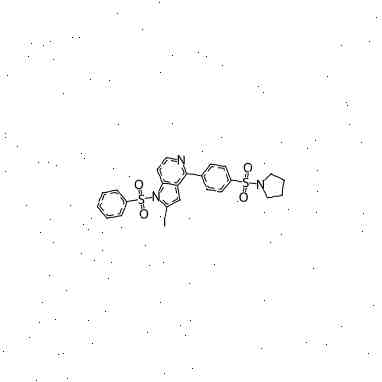 O=S(=O)(c1ccc(-c2nccc3c2cc(I)n3S(=O)(=O)c2ccccc2)cc1)N1CCCC1